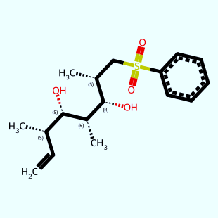 C=C[C@H](C)[C@H](O)[C@@H](C)[C@@H](O)[C@H](C)CS(=O)(=O)c1ccccc1